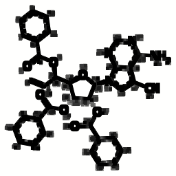 C=C[C@@H](OC(=O)c1ccccc1)[C@H]1O[C@@H](n2cc(C#N)c3c(N)ncnc32)[C@H](OC(=O)c2ccccc2)[C@@H]1OC(=O)c1ccccc1